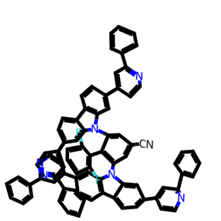 N#Cc1cc(-n2c3cc(-c4ccnc(-c5ccccc5)c4)ccc3c3ccc(-c4ccnc(-c5ccccc5)c4)cc32)c(-c2c(F)cccc2F)c(-n2c3cc(-c4ccnc(-c5ccccc5)c4)ccc3c3ccc(-c4ccnc(-c5ccccc5)c4)cc32)c1